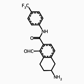 NC1CCc2c(ccc(C(=O)Nc3ccc(C(F)(F)F)cc3)c2C=O)C1